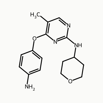 Cc1cnc(NC2CCOCC2)nc1Oc1ccc(N)cc1